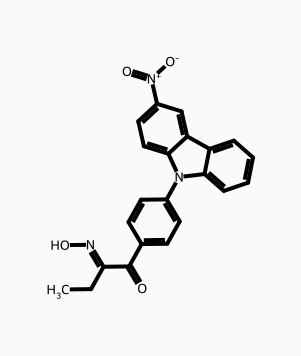 CCC(=NO)C(=O)c1ccc(-n2c3ccccc3c3cc([N+](=O)[O-])ccc32)cc1